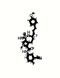 COc1ccc(CC[C@H](C)C2CCc3c(cn(C)c3C(=O)Nc3ccc(F)c(C#N)c3)S(=N)(=O)N2)cc1